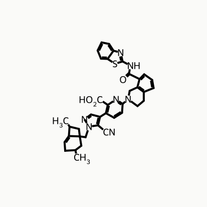 CC1CC=C2C(C)CC2(Cn2ncc(-c3ccc(N4CCc5cccc(C(=O)Nc6nc7ccccc7s6)c5C4)nc3C(=O)O)c2C#N)C1